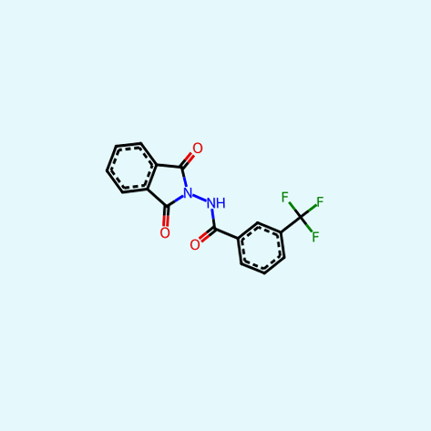 O=C(NN1C(=O)c2ccccc2C1=O)c1cccc(C(F)(F)F)c1